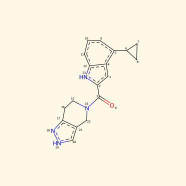 O=C(c1cc2c(C3CC3)cccc2[nH]1)N1CCc2n[nH]cc2C1